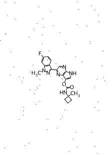 Cn1nc(-c2cnc3[nH]cc(OC(=O)NC4(C)CCC4)c3n2)c2ccc(F)cc21